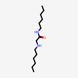 CCCCCCNCC(=O)NCCCCCC